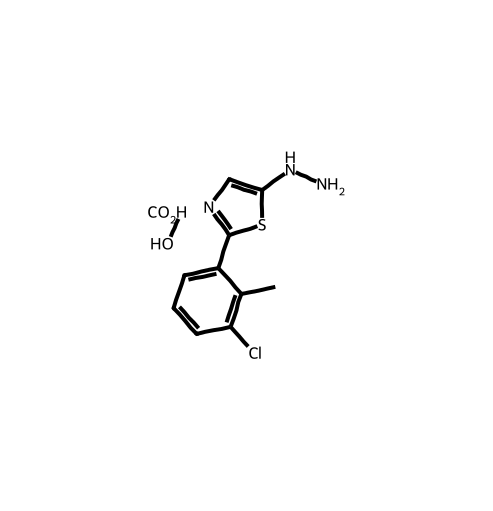 Cc1c(Cl)cccc1-c1ncc(NN)s1.O=C(O)O